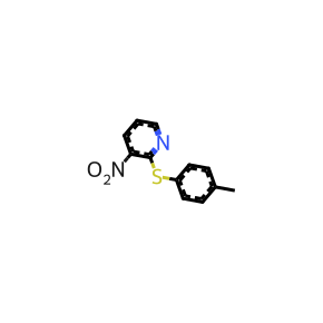 Cc1ccc(Sc2ncccc2[N+](=O)[O-])cc1